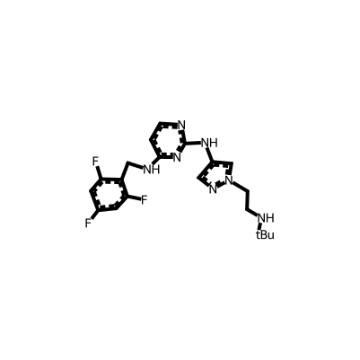 CC(C)(C)NCCn1cc(Nc2nccc(NCc3c(F)cc(F)cc3F)n2)cn1